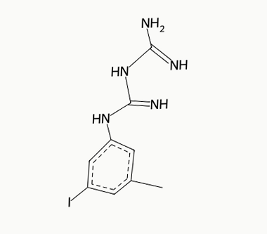 Cc1cc(I)cc(NC(=N)NC(=N)N)c1